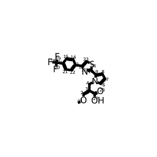 CO/C=C(/Cn1cccc1-c1nc(-c2ccc(C(F)(F)F)cc2)cs1)C(=O)O